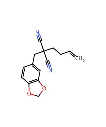 C=CCCC(C#N)(C#N)Cc1ccc2c(c1)OCO2